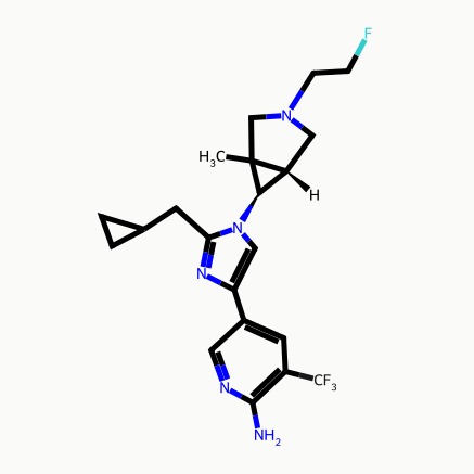 CC12CN(CCF)C[C@@H]1[C@H]2n1cc(-c2cnc(N)c(C(F)(F)F)c2)nc1CC1CC1